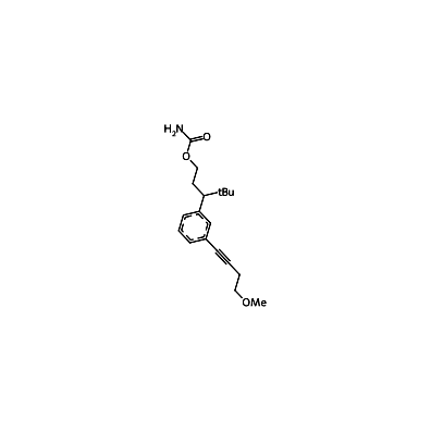 COCCC#Cc1cccc(C(CCOC(N)=O)C(C)(C)C)c1